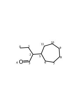 CCC(C=O)C1CCCCCC1